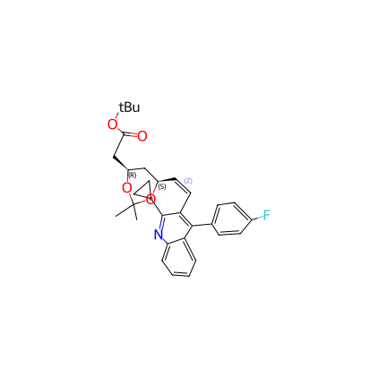 CC(C)(C)OC(=O)C[C@H]1C[C@@H](/C=C\c2c(C3CC3)nc3ccccc3c2-c2ccc(F)cc2)OC(C)(C)O1